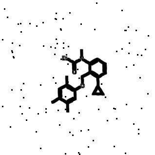 CCC(=O)N(C)c1cccc(C2CC2)c1COc1cc(C)c(C)cc1C